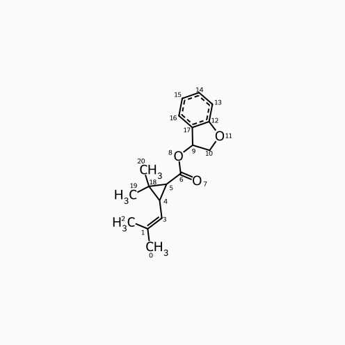 CC(C)=CC1C(C(=O)OC2COc3ccccc32)C1(C)C